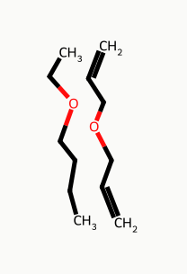 C=CCOCC=C.CCCCOCC